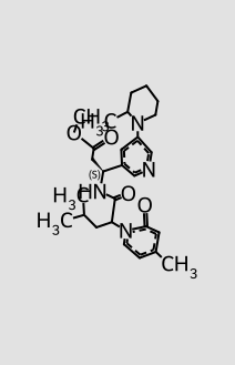 COC(=O)C[C@H](NC(=O)C(CC(C)C)n1ccc(C)cc1=O)c1cncc(N2CCCCC2C)c1